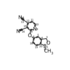 CB1OCc2cc(Oc3nccc(C#N)c3C#N)ccc21